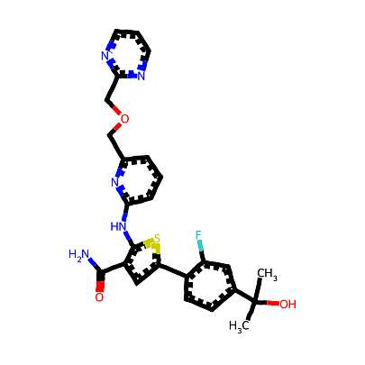 CC(C)(O)c1ccc(-c2cc(C(N)=O)c(Nc3cccc(COCc4ncccn4)n3)s2)c(F)c1